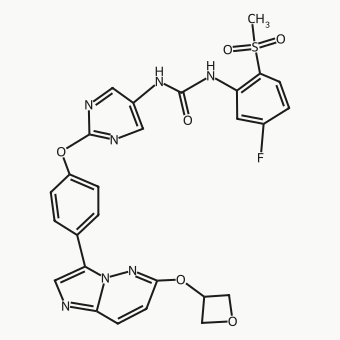 CS(=O)(=O)c1ccc(F)cc1NC(=O)Nc1cnc(Oc2ccc(-c3cnc4ccc(OC5COC5)nn34)cc2)nc1